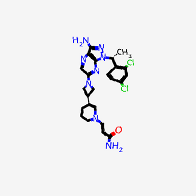 C[C@H](c1ccc(Cl)cc1Cl)n1nc(N)c2ncc(N3CC([C@@H]4CCCN(CCC(N)=O)C4)C3)nc21